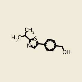 CC(C)c1ncc(-c2ccc(CO)cc2)s1